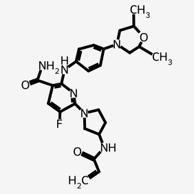 C=CC(=O)NC1CCN(c2nc(Nc3ccc(N4CC(C)OC(C)C4)cc3)c(C(N)=O)cc2F)C1